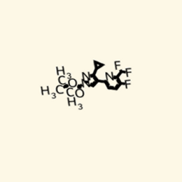 CC(C)(C)OC(=O)n1cc(-c2ccc(F)c(C(F)F)n2)c(C2CC2)n1